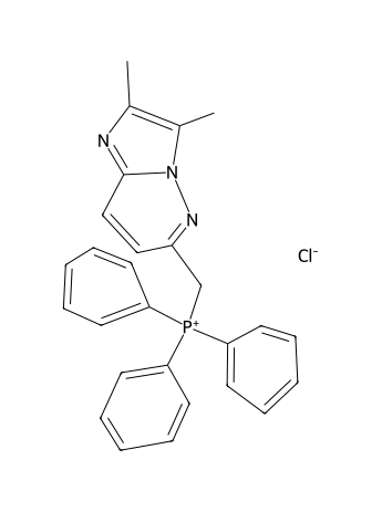 Cc1nc2ccc(C[P+](c3ccccc3)(c3ccccc3)c3ccccc3)nn2c1C.[Cl-]